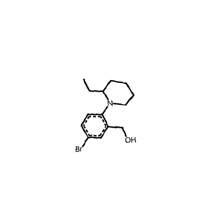 CCC1CCCCN1c1ccc(Br)cc1CO